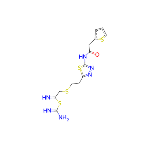 N=C(N)SC(=N)CSCCc1nnc(NC(=O)Cc2cccs2)s1